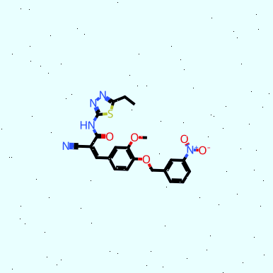 CCc1nnc(NC(=O)C(C#N)=Cc2ccc(OCc3cccc([N+](=O)[O-])c3)c(OC)c2)s1